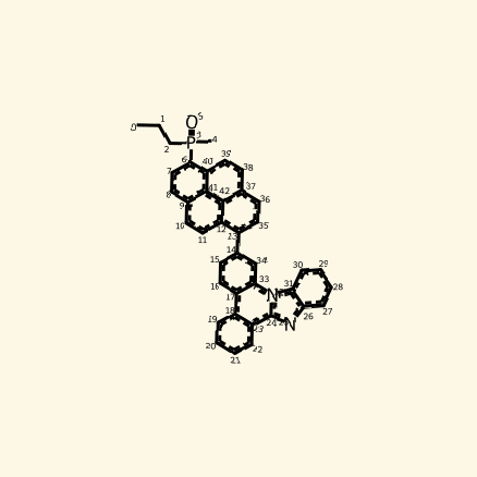 CCCP(C)(=O)c1ccc2ccc3c(-c4ccc5c6ccccc6c6nc7ccccc7n6c5c4)ccc4ccc1c2c43